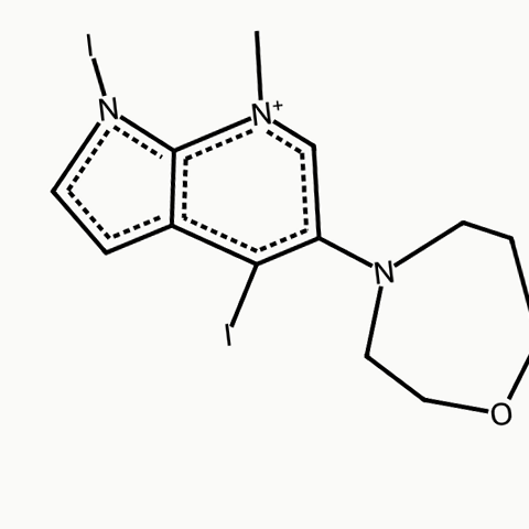 C[n+]1cc(N2CCCOCC2)c(I)c2ccn(I)c21